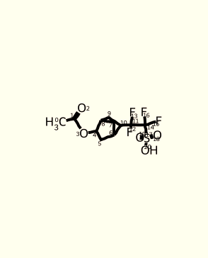 CC(=O)OC1CC2CC1CC2C(F)(F)C(F)(F)S(=O)(=O)O